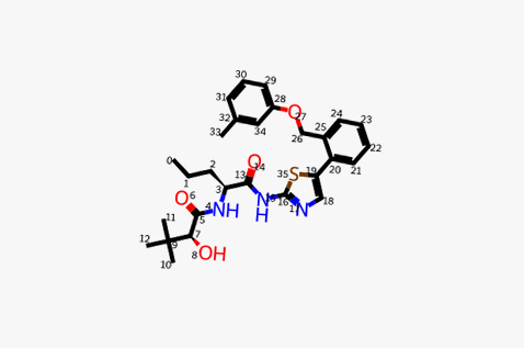 CCC[C@H](NC(=O)[C@@H](O)C(C)(C)C)C(=O)Nc1ncc(-c2ccccc2COc2cccc(C)c2)s1